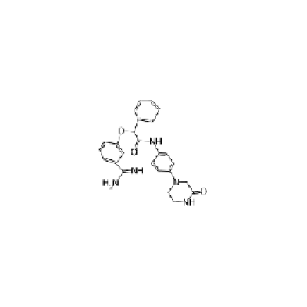 N=C(N)c1cccc(OC(C(=O)Nc2ccc(N3CCNC(=O)C3)cc2)c2ccccc2)c1